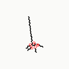 CCCCCCCCCCCCCC/C=C/CCC[C@H]1O[C@H](COCCCC)[C@H](OCCCC)[C@H](OCCCC)[C@H]1OCCCC